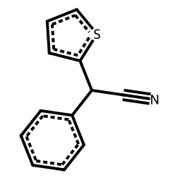 N#CC(c1ccccc1)c1cccs1